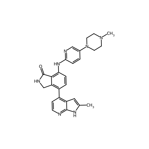 Cc1cc2c(-c3ccc(Nc4ccc(N5CCN(C)CC5)cn4)c4c3CNC4=O)ccnc2[nH]1